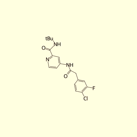 CC(C)(C)NC(=O)c1cc(NC(=O)Cc2ccc(Cl)c(F)c2)ccn1